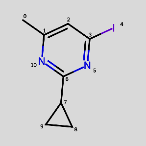 Cc1cc(I)nc(C2CC2)n1